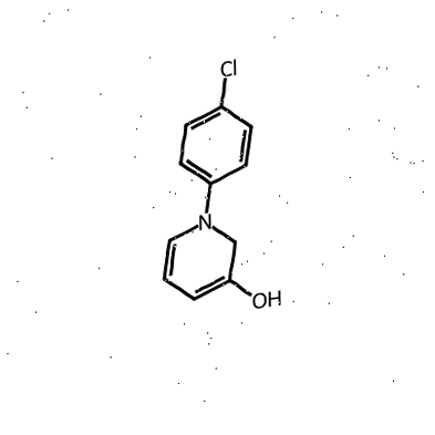 OC1=CC=CN(c2ccc(Cl)cc2)C1